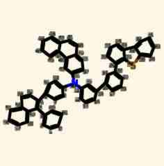 c1ccc(-c2c(-c3ccc(N(c4cccc(-c5cccc(-c6cccc7c6sc6ccccc67)c5)c4)c4ccc5ccc6ccccc6c5c4)cc3)ccc3ccccc23)cc1